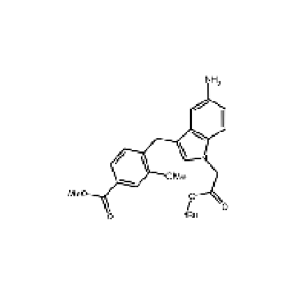 COC(=O)c1ccc(Cc2cn(CC(=O)OC(C)(C)C)c3ccc(N)cc23)c(OC)c1